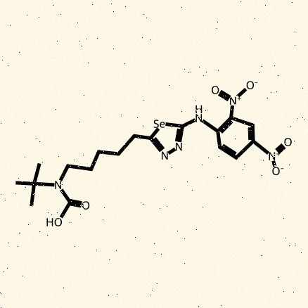 CC(C)(C)N(CCCCCc1nnc(Nc2ccc([N+](=O)[O-])cc2[N+](=O)[O-])[se]1)C(=O)O